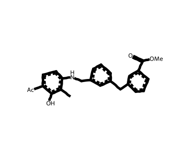 COC(=O)c1cccc(Cc2cccc(CNc3ccc(C(C)=O)c(O)c3C)c2)c1